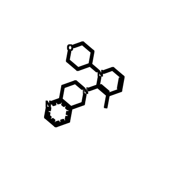 CC1=C(N2CCc3ncccc3C2)N(C2CCOCC2)CC=C1